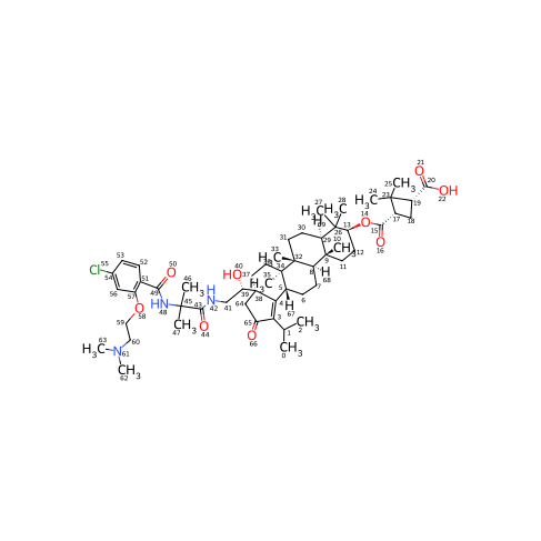 CC(C)C1=C2[C@H]3CC[C@@H]4[C@@]5(C)CC[C@H](OC(=O)[C@H]6C[C@@H](C(=O)O)C6(C)C)C(C)(C)[C@@H]5CC[C@@]4(C)[C@]3(C)CC[C@@]2([C@@H](O)CNC(=O)C(C)(C)NC(=O)c2ccc(Cl)cc2OCCN(C)C)CC1=O